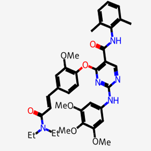 CCN(CC)C(=O)/C=C/c1ccc(Oc2nc(Nc3cc(OC)c(OC)c(OC)c3)ncc2C(=O)Nc2c(C)cccc2C)c(OC)c1